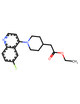 CCOC(=O)CC1CCN(c2ccnc3ccc(F)cc23)CC1